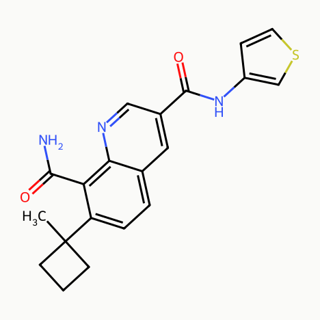 CC1(c2ccc3cc(C(=O)Nc4ccsc4)cnc3c2C(N)=O)CCC1